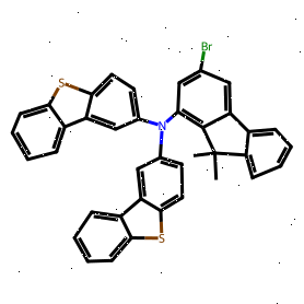 CC1(C)c2ccccc2-c2cc(Br)cc(N(c3ccc4sc5ccccc5c4c3)c3ccc4sc5ccccc5c4c3)c21